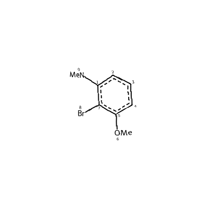 CNc1cccc(OC)c1Br